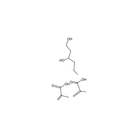 C=C(C)C(=O)O.C=C(C)C(=O)O.CCCC(O)CCO